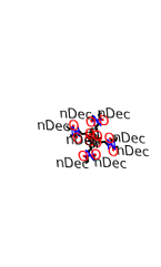 CCCCCCCCCCCC(=O)N(CCC[Si]1(C)O[Si](C)(CCCN(C(=O)CCCCCCCCCCC)C(=O)CCCCCCCCCCC)O[Si](C)(CCCN(C(=O)CCCCCCCCCCC)C(=O)CCCCCCCCCCC)O[Si](C)(CCCN(C(=O)CCCCCCCCCCC)C(=O)CCCCCCCCCCC)O1)C(=O)CCCCCCCCCCC